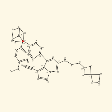 COc1ccc(CN2C3CC2CN(c2ccc(-c4cc(OCCN5CC6(COC6)C5)cn5ncc(C#N)c45)cn2)C3)cn1